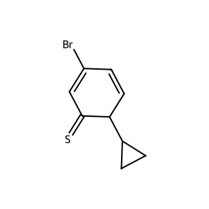 S=C1C=C(Br)C=CC1C1CC1